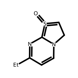 CCC1=NC2=S(=O)=CCN2C=C1